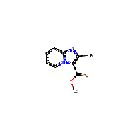 CCCc1nc2ccccn2c1C(=S)OCC